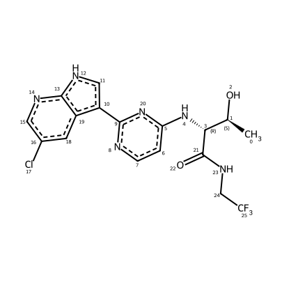 C[C@H](O)[C@@H](Nc1ccnc(-c2c[nH]c3ncc(Cl)cc23)n1)C(=O)NCC(F)(F)F